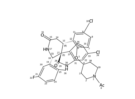 CC(=O)N1CCC(Oc2ccc(Cl)cc2[C@H]2CC(=O)N[C@@H](c3cc(F)ccc3C)[C@]23C(=O)Nc2cc(Cl)ccc23)CC1